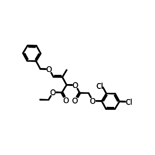 CCOC(=O)C(OC(=O)COc1ccc(Cl)cc1Cl)/C(C)=C/OCc1ccccc1